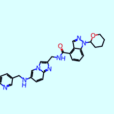 O=C(NCc1cn2cc(NCc3cccnc3)ccc2n1)c1cccc2c1cnn2C1CCCCO1